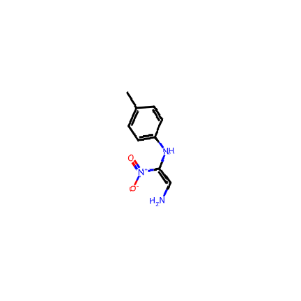 Cc1ccc(NC(=CN)[N+](=O)[O-])cc1